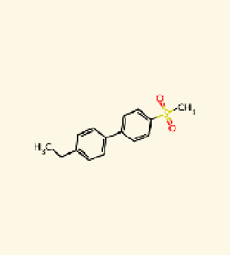 CCc1ccc(-c2ccc(S(C)(=O)=O)cc2)cc1